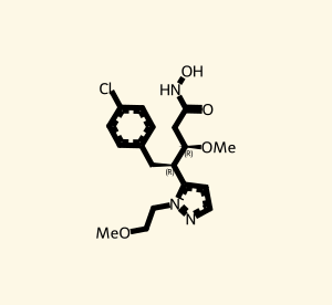 COCCn1nccc1[C@@H](Cc1ccc(Cl)cc1)[C@@H](CC(=O)NO)OC